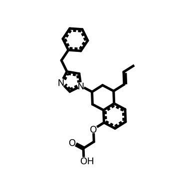 CC=CC1CC(n2cnc(Cc3ccccc3)c2)Cc2c(OCC(=O)O)cccc21